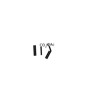 C=C.C=COC(C)=O.CC(=O)O